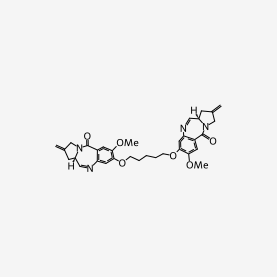 C=C1C[C@H]2C=Nc3cc(OCCCCCOc4cc5c(cc4OC)C(=O)N4CC(=C)C[C@H]4C=N5)c(OC)cc3C(=O)N2C1